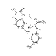 C=C(OCCOC(=O)C(C)Oc1ccc(OC)cc1)C(C)Oc1ccc(OC)cc1